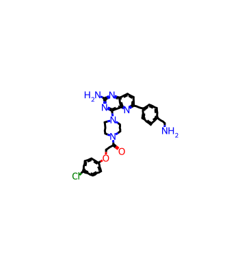 NCc1ccc(-c2ccc3nc(N)nc(N4CCN(C(=O)COc5ccc(Cl)cc5)CC4)c3n2)cc1